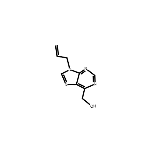 C=CCn1cnc2c(CO)ncnc21